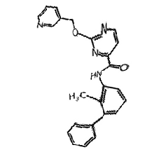 Cc1c(NC(=O)c2ccnc(OCc3cccnc3)n2)cccc1-c1ccccc1